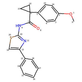 COc1ccc(C2(C(=O)Nc3nc(-c4ccccc4)cs3)CC2)cc1